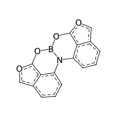 c1cc2c3c(occ3c1)OB1Oc3occ4cccc(c34)N12